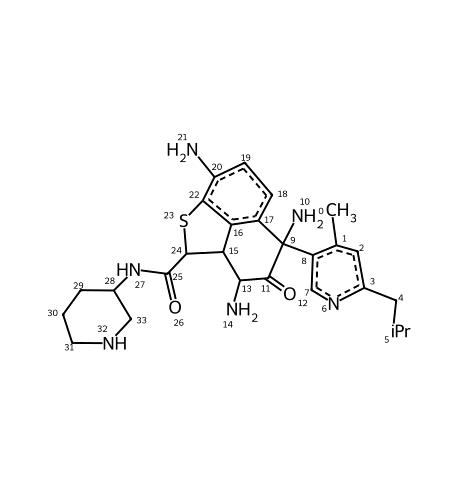 Cc1cc(CC(C)C)ncc1C1(N)C(=O)C(N)C2c3c1ccc(N)c3SC2C(=O)NC1CCCNC1